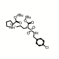 CC(C)(C)OC(=O)N(CCC[C@@]1(C(=O)OC(C)(C)C)CCCN1)S(=O)(=O)NCc1ccc(Cl)cc1